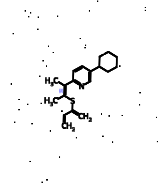 C=CC(=C)S/C(C)=C(/C)c1ccc(C2CCCCC2)cn1